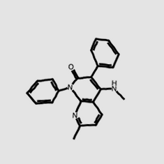 CNc1c(-c2ccccc2)c(=O)n(-c2ccccc2)c2nc(C)ccc12